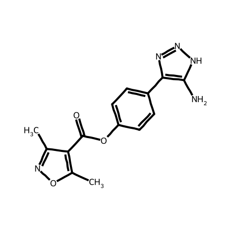 Cc1noc(C)c1C(=O)Oc1ccc(-c2nn[nH]c2N)cc1